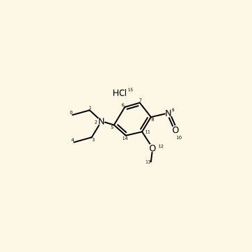 CCN(CC)c1ccc(N=O)c(OC)c1.Cl